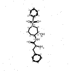 NC(Cc1ccccc1)C(=O)NC1CCCN(S(=O)(=O)c2ccccn2)C[C@@H]1O